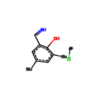 CC(C)(C)c1cc(C=N)c(O)c(C(C)(C)C)c1.[Al][Cl]